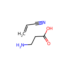 C=CC#N.NCCC(=O)O